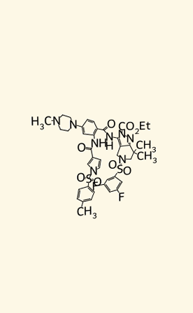 CCOC(=O)n1nc2c(c1NC(=O)c1ccc(N3CCN(C)CC3)cc1NC(=O)c1ccn(S(=O)(=O)c3ccc(C)cc3)c1)CN(S(=O)(=O)c1cc(F)cc(F)c1)CC2(C)C